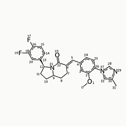 COc1cc(/C=C2\CCC3CC[C@@H](c4ccc(F)c(F)c4)N3C2=O)ccc1-n1cnc(C)c1